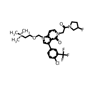 CS(C)(C)CCOCn1cc(-c2ccc(Cl)c(C(F)(F)F)c2)c2c(=O)n(CC(=O)N3CCC(F)C3)ccc21